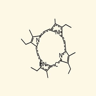 CCC1=C(C)c2cc3[nH]c(cc4nc(cc5[nH]c(cc1n2)c(C)c5CC)C(CC)=C4C)c(C)c3CC